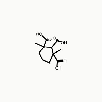 CC1(C(=O)O)CCCC(C)(C(=O)O)C1C(=O)O